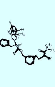 CN(C)C(=O)C(C#N)CCc1cccc(COC(=O)N[C@@H](Cc2ccccc2)B2O[C@@H]3C[C@@H]4C[C@@H](C4(C)C)[C@]3(C)O2)c1